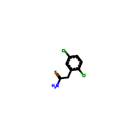 NC(=S)Cc1cc(Cl)ccc1Cl